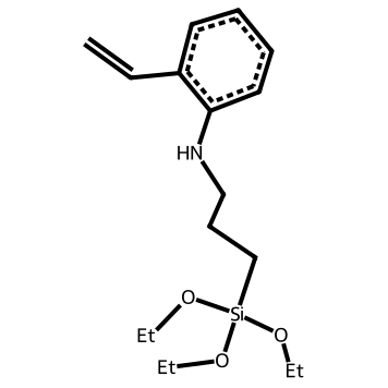 C=Cc1ccccc1NCCC[Si](OCC)(OCC)OCC